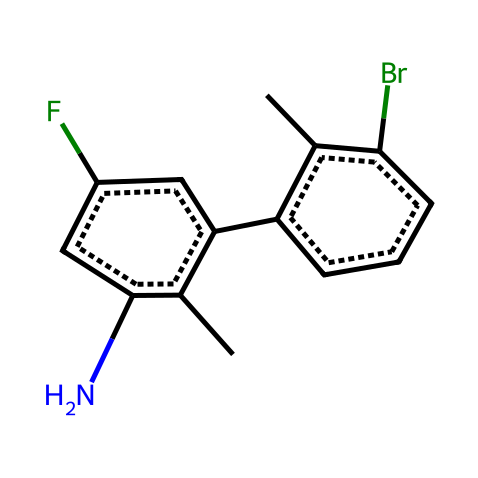 Cc1c(N)cc(F)cc1-c1cccc(Br)c1C